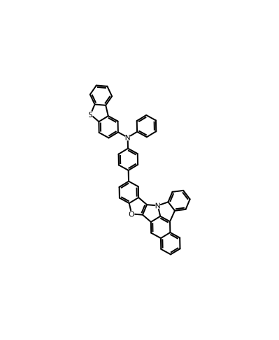 c1ccc(N(c2ccc(-c3ccc4oc5c6cc7ccccc7c7c8ccccc8n(c5c4c3)c67)cc2)c2ccc3sc4ccccc4c3c2)cc1